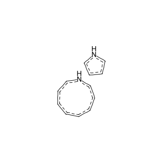 c1cc[nH]c1.c1cccc[nH]ccc1